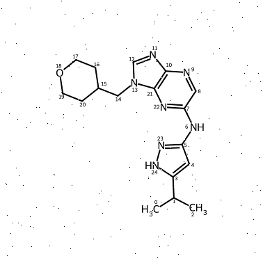 CC(C)c1cc(Nc2cnc3ncn(CC4CCOCC4)c3n2)n[nH]1